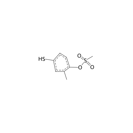 Cc1cc(S)ccc1OS(C)(=O)=O